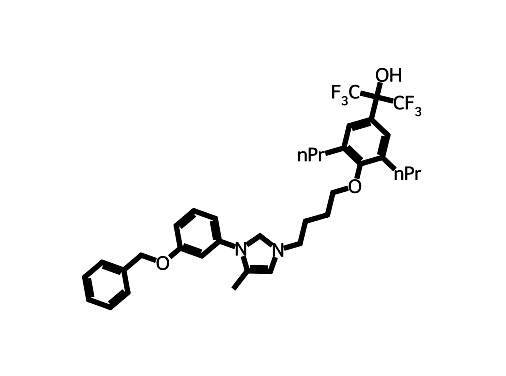 CCCc1cc(C(O)(C(F)(F)F)C(F)(F)F)cc(CCC)c1OCCCCN1C=C(C)N(c2cccc(OCc3ccccc3)c2)C1